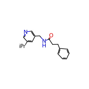 CC(C)c1cncc(CNC(=O)CCc2ccccc2)c1